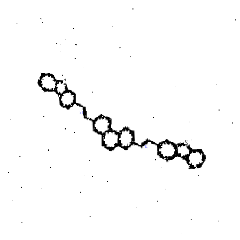 C(=C\c1ccc2c(c1)sc1ccccc12)/c1ccc2c(ccc3cc(/C=C/c4ccc5c(c4)sc4ccccc45)ccc32)c1